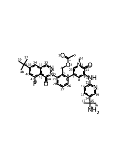 CC(=O)OCc1c(-c2cc(Nc3ccc(C(C)(C)N)cn3)c(=O)n(C)c2)cccc1-n1ncc2cc(C(C)(C)C)cc(F)c2c1=O